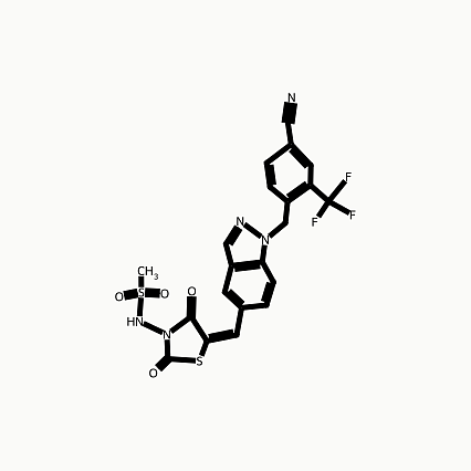 CS(=O)(=O)NN1C(=O)SC(=Cc2ccc3c(cnn3Cc3ccc(C#N)cc3C(F)(F)F)c2)C1=O